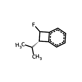 CC(C)[C@H]1c2ccccc2C1F